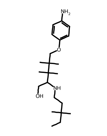 CCC(C)(C)CCNC(CO)C(C)(C)C(C)(C)COc1ccc(N)cc1